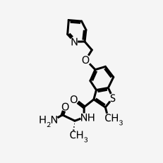 Cc1sc2ccc(OCc3ccccn3)cc2c1C(=O)N[C@H](C)C(N)=O